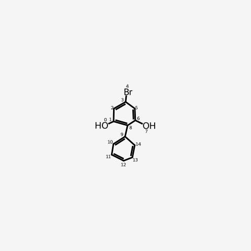 Oc1cc(Br)cc(O)c1-c1ccccc1